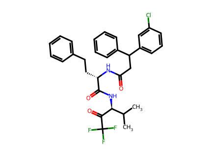 CC(C)[C@H](NC(=O)[C@H](CCc1ccccc1)NC(=O)CC(c1ccccc1)c1cccc(Cl)c1)C(=O)C(F)(F)F